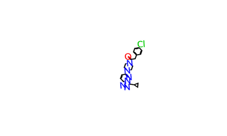 O=C(Cc1ccc(Cl)cc1)N1CCN(c2ccc3nnc(C4CC4)n3n2)CC1